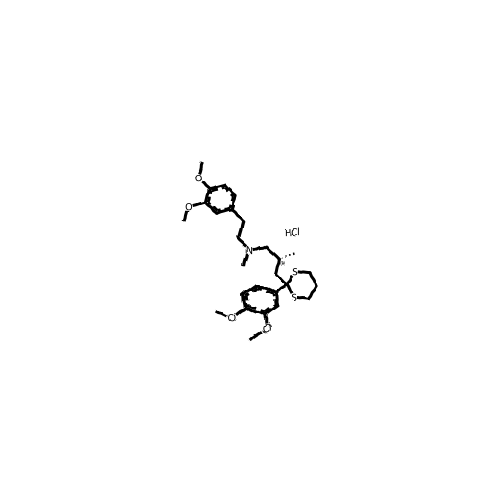 COc1ccc(CCN(C)C[C@H](C)CC2(c3ccc(OC)c(OC)c3)SCCCS2)cc1OC.Cl